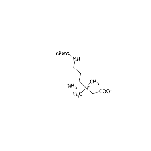 CCCCCNCCC[N+](C)(C)CC(=O)[O-].N